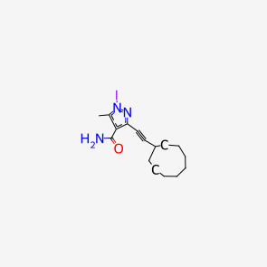 Cc1c(C(N)=O)c(C#CC2CCCCCCCC2)nn1I